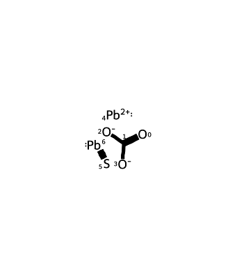 O=C([O-])[O-].[Pb+2].[S]=[Pb]